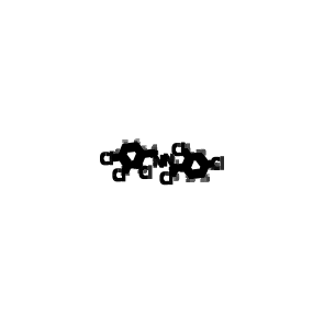 ClC(=NN=Cc1ccc(Cl)c(Cl)c1Cl)c1ccc(Cl)cc1Cl